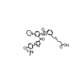 O=C(O)CCSCc1cccc(C(=O)Nc2ccc(N3CCCCC3)cc2C(=O)c2cnn(-c3ccc(Cl)c(C(F)(F)F)c3)c2)c1